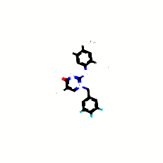 COc1cc(C)c(Nc2nc(=O)c(C#N)cn2Cc2cc(F)c(F)c(F)c2)cc1C